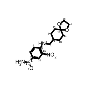 N[S+]([O-])c1ccc(NCC2CCC3(CC2)OCCO3)c([N+](=O)[O-])c1